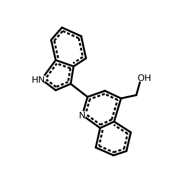 OCc1cc(-c2c[nH]c3ccccc23)nc2ccccc12